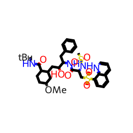 COC1CCC(C(=O)NC(C)(C)C)C(CC(O)C(Cc2ccccc2)NC(=O)C(CS(=O)(=O)c2cccc3cccnc23)NS(C)(=O)=O)C1